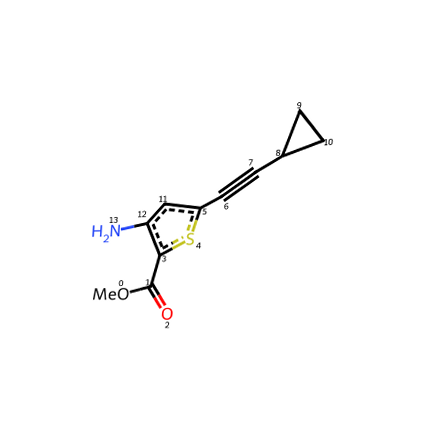 COC(=O)c1sc(C#CC2CC2)cc1N